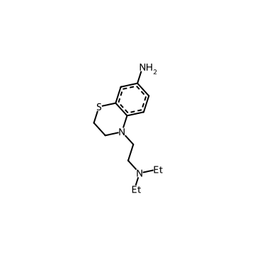 CCN(CC)CCN1CCSc2cc(N)ccc21